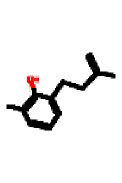 C=C(C)CCc1cccc(C)c1O